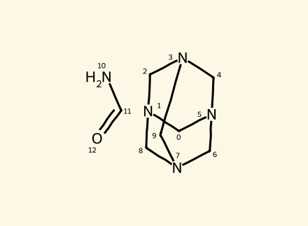 C1N2CN3CN1CN(C2)C3.NC=O